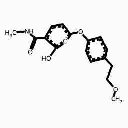 CNC(=O)c1ccc(Oc2ccc(CCOC)cc2)cc1O